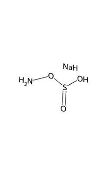 NOS(=O)O.[NaH]